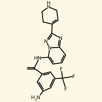 C=C(Nc1cccc2nc(C3=CCNCC3)nn12)c1cc(N)cc(C(F)(F)F)c1